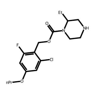 CCCOc1cc(F)c(COC(=O)N2CCNCC2CC)c(Cl)c1